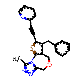 Cc1nnc2n1-c1sc(C#Cc3ccccn3)c(Cc3ccccc3)c1COC2